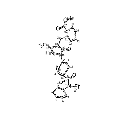 CCN(c1ccccc1)S(=O)(=O)c1ccc(-n2[nH]c(C)c(Cc3ccccc3C(=O)OC)c2=O)nc1